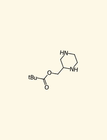 CC(C)(C)C(=O)OCC1CNCCN1